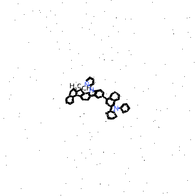 CC1(C)c2ccc3ccccc3c2-c2ccc3c4cc(-c5cc6c7ccccc7n(-c7ccccc7)c6c6ccccc56)ccc4n(-c4ccccn4)c3c21